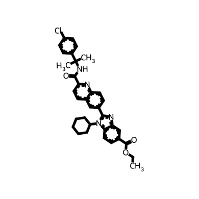 CCOC(=O)c1ccc2c(c1)nc(-c1ccc3nc(C(=O)NC(C)(C)c4ccc(Cl)cc4)ccc3c1)n2C1CCCCC1